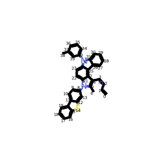 C=C/C=C\c1c(C)n(-c2ccc3c(c2)sc2ccccc23)c2ccc3c(c4ccccc4n3-c3cccc(C)c3)c12